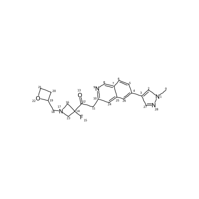 Cn1cc(-c2ccc3cnc(CC(=O)C4(F)CN(CC5CCO5)C4)cc3c2)cn1